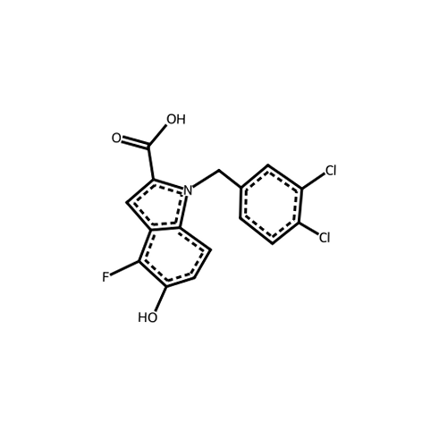 O=C(O)c1cc2c(F)c(O)ccc2n1Cc1ccc(Cl)c(Cl)c1